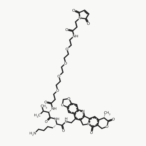 CC(C)[C@H](NC(=O)CCOCCOCCOCCOCCNC(=O)CCN1C(=O)C=CC1=O)C(=O)N[C@@H](CCCCN)C(=O)NCc1c2c(nc3cc4c(cc13)OCO4)-c1cc3c(c(=O)n1C2)COC(=O)[C@H]3C